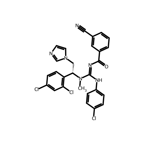 CN(/C(=N/C(=O)c1cccc(C#N)c1)Nc1ccc(Cl)cc1)[C@@H](Cn1ccnc1)c1ccc(Cl)cc1Cl